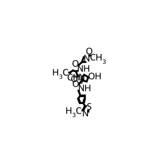 CC(=O)N1CC(C(=O)NC(CC(C)C)C(=O)N2CC(O)CC2C(=O)NCc2ccc(-c3scnc3C)cc2)C1